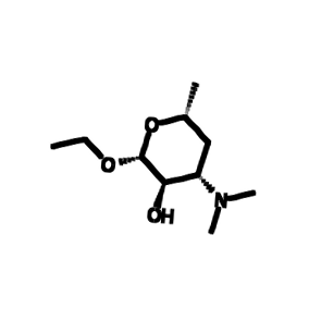 CCO[C@@H]1O[C@H](C)C[C@H](N(C)C)[C@H]1O